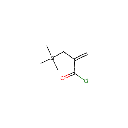 C=C(C[Si](C)(C)C)C(=O)Cl